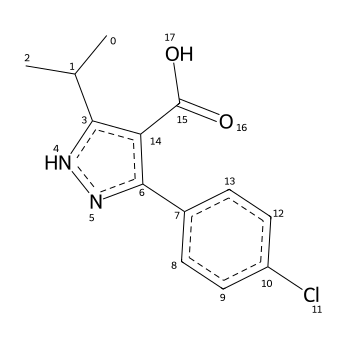 CC(C)c1[nH]nc(-c2ccc(Cl)cc2)c1C(=O)O